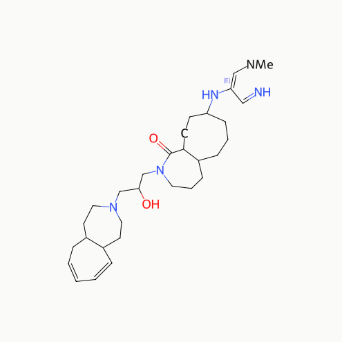 CN/C=C(\C=N)NC1CCCC2CCCN(CC(O)CN3CCC4C=CC=CCC4CC3)C(=O)C2CC1